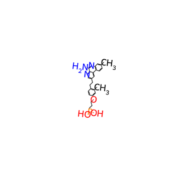 Cc1ccc2c(c1)nc(N)c1ncc(CCc3ccc(OCCCP(O)O)cc3C)cc12